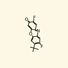 CC(C)(C)c1cc2oc3cc(=O)c(F)cc-3nc2cc1F